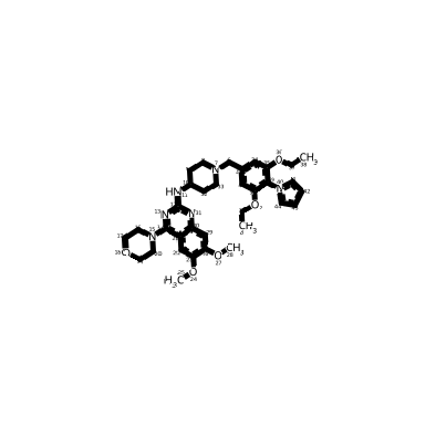 CCOc1cc(CN2CCC(Nc3nc(N4CCOCC4)c4cc(OC)c(OC)cc4n3)CC2)cc(OCC)c1-n1cccc1